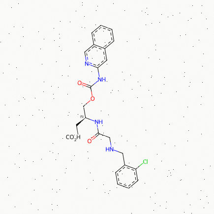 O=C(O)C[C@@H](COC(=O)Nc1cc2ccccc2cn1)NC(=O)CNCc1ccccc1Cl